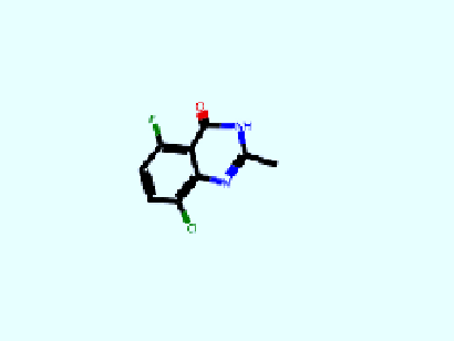 Cc1nc2c(Cl)ccc(F)c2c(=O)[nH]1